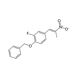 C/C(=C\c1ccc(OCc2ccccc2)c(F)c1)[N+](=O)[O-]